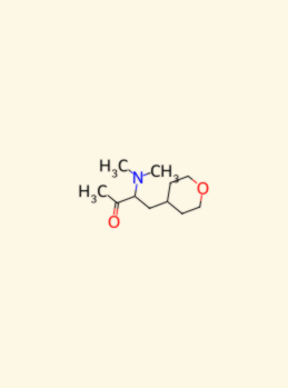 CC(=O)C(CC1CCOCC1)N(C)C